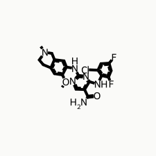 COc1cc2c(cc1Nc1ncc(C(N)=O)c(Nc3c(F)cc(F)cc3Cl)n1)CN(C)CC2